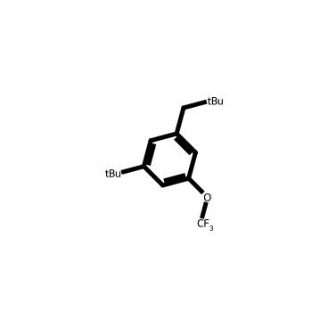 CC(C)(C)Cc1cc(OC(F)(F)F)cc(C(C)(C)C)c1